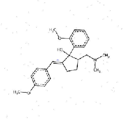 COc1ccc(/C=C2\CCC(CN(C)C)C2(O)c2ccccc2OC)cc1